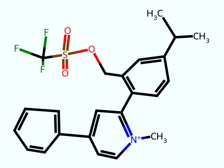 CC(C)c1ccc(-c2cc(-c3ccccc3)cc[n+]2C)c(COS(=O)(=O)C(F)(F)F)c1